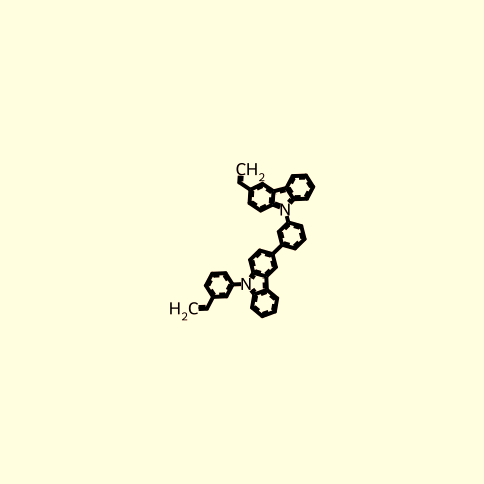 C=Cc1cccc(-n2c3ccccc3c3cc(-c4cccc(-n5c6ccccc6c6cc(C=C)ccc65)c4)ccc32)c1